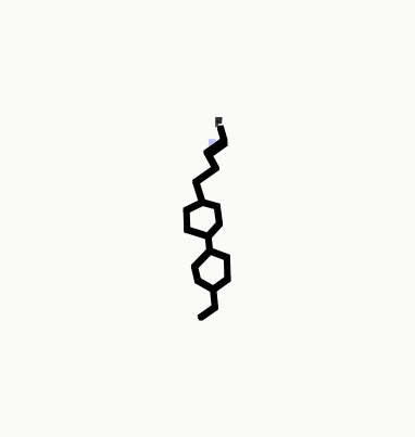 CCC1CCC(C2CCC(CC/C=C/F)CC2)CC1